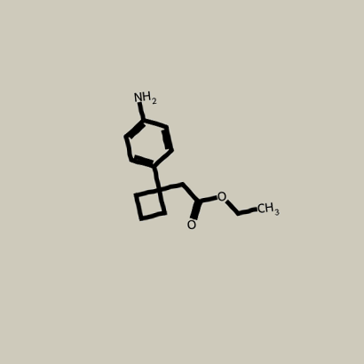 CCOC(=O)CC1(c2ccc(N)cc2)CCC1